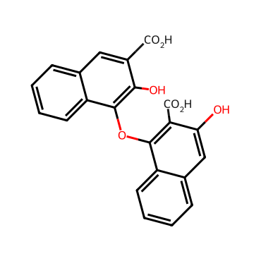 O=C(O)c1cc2ccccc2c(Oc2c(C(=O)O)c(O)cc3ccccc23)c1O